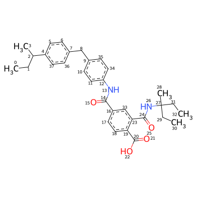 CCC(C)c1ccc(Cc2ccc(NC(=O)c3ccc(C(=O)O)c(C(=O)NC(C)(CC)CC)c3)cc2)cc1